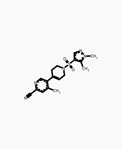 Cc1cc(C#N)ncc1C1=CCN(S(=O)(=O)c2cnn(C)c2C)CC1